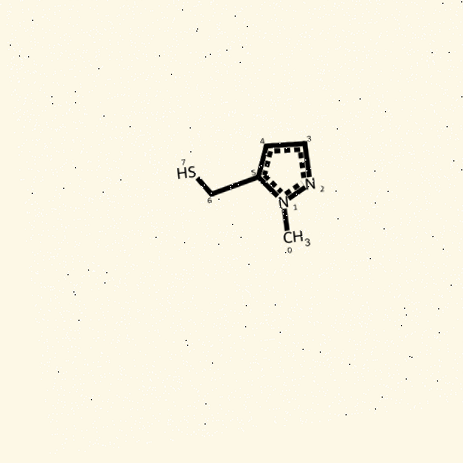 Cn1nccc1CS